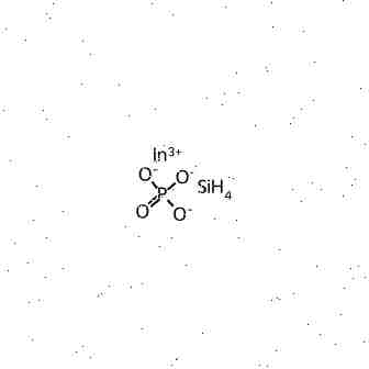 O=P([O-])([O-])[O-].[In+3].[SiH4]